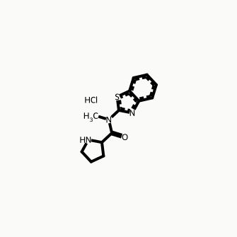 CN(C(=O)C1CCCN1)c1nc2ccccc2s1.Cl